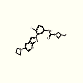 O=C(Nc1ccc(F)c(-n2cc3cc(N4CCC4)cnc3n2)c1)N1CC(F)C1